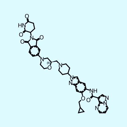 O=C1CCC(N2C(=O)c3ccc(N4CCO[C@H](CN5CCC(n6cc7cc(NC(=O)c8cnn9cccnc89)c(OCC8CC8)cc7n6)CC5)C4)cc3C2=O)C(=O)N1